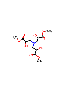 COC(=O)C(O)CN(CC(O)C(=O)OC)CC(O)C(=O)OC